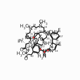 CC(C)[C@H](NC(=O)[C@@H]1CCCN1C(=O)[C@H](CC(N)=O)NC(=O)CN(C)CCN(C)CCN(C)CCN)C(=O)N=[S@@](C)(=O)Cc1cc2cc(c1)OCCCCOc1cc(F)ccc1-c1nc(ncc1F)N2